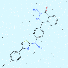 NN1NC(c2ccc(N(N)C3NC(c4ccccc4)=CS3)cc2)c2ccccc2C1=O